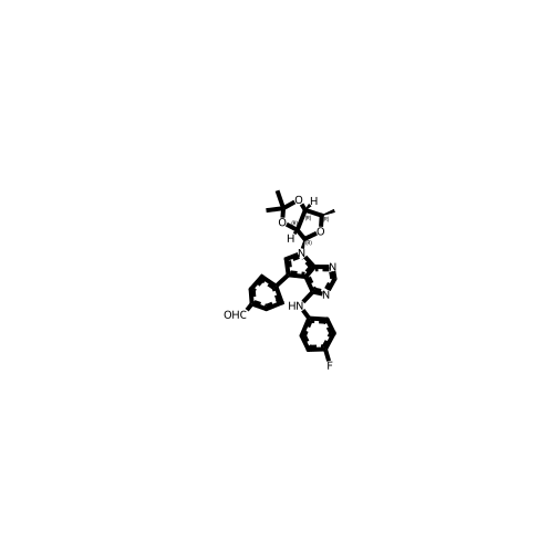 C[C@H]1O[C@@H](n2cc(-c3ccc(C=O)cc3)c3c(Nc4ccc(F)cc4)ncnc32)[C@@H]2OC(C)(C)O[C@@H]21